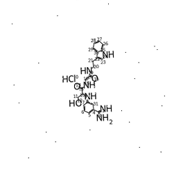 Cl.N=C(N)c1cccc(NC(CO)C(=O)NCC(=O)NCCc2c[nH]c3ccccc23)c1